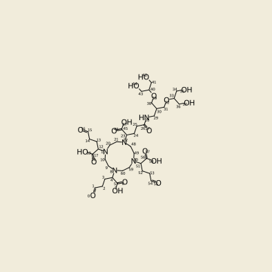 O=CCCC(C(=O)O)N1CCN(C(CCC=O)C(=O)O)CCN(C(CCC(=O)NCC(COC(CO)CO)COC(CO)CO)C(=O)O)CCN(C(CCC=O)C(=O)O)CC1